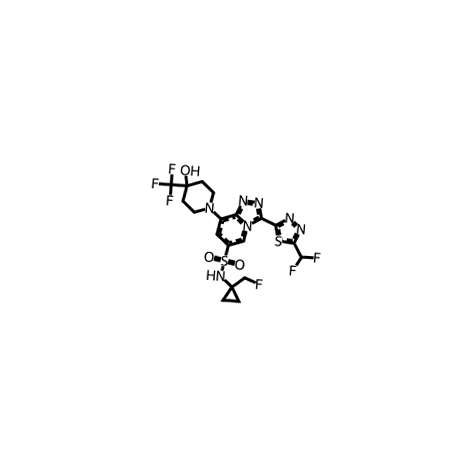 O=S(=O)(NC1(CF)CC1)c1cc(N2CCC(O)(C(F)(F)F)CC2)c2nnc(-c3nnc(C(F)F)s3)n2c1